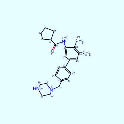 CCN(C(=O)C1CCCC1)c1cc(-c2ccc(CN3CCNCC3)cc2)cc(C)c1C